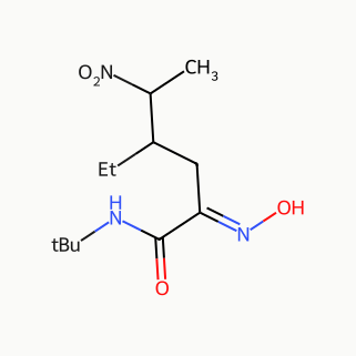 CCC(C/C(=N\O)C(=O)NC(C)(C)C)C(C)[N+](=O)[O-]